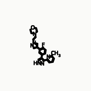 Cc1cccc(-c2n[nH]cc2-c2ccc(F)c(-c3cnn(CCN4CCOCC4)c3)c2)n1